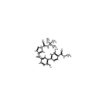 COC(=O)c1ccc(-c2nc(Nc3ccn(C(=O)OC(C)(C)C)n3)ncc2F)cc1F